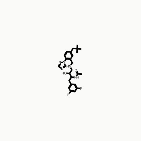 CC(=O)NC(Cc1cc(F)cc(F)c1)C(O)CNCc1cc(CC(C)(C)C)ccc1-n1cncn1